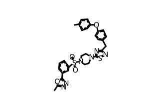 Cc1ccc(Oc2ccc(Cc3nsc(N4CCN(S(=O)(=O)c5cccc(-c6nnc(C)o6)c5)CC4)n3)cc2)cc1